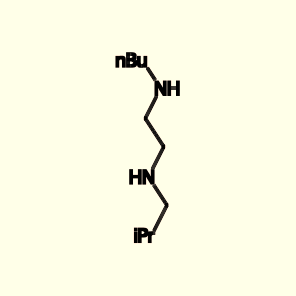 CCCCNCCNCC(C)C